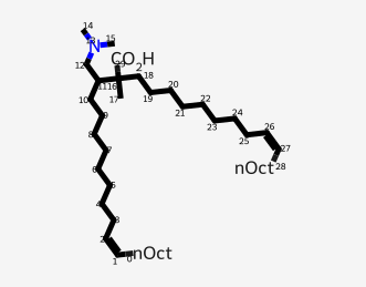 CCCCCCCC/C=C\CCCCCCCCC(CN(C)C)C(C)(CCCCCCCC/C=C\CCCCCCCC)C(=O)O